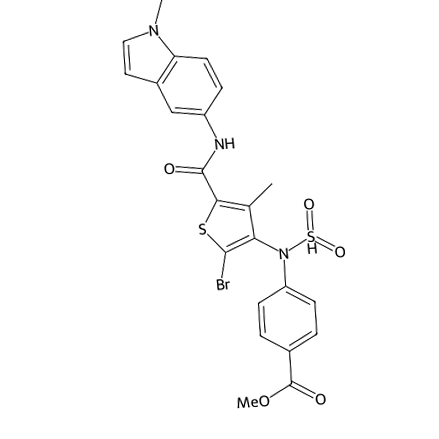 COC(=O)c1ccc(N(c2c(Br)sc(C(=O)Nc3ccc4c(ccn4C)c3)c2C)[SH](=O)=O)cc1